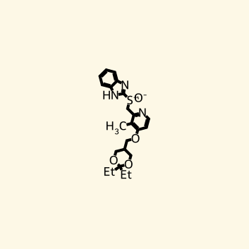 CCC1(CC)OCC(COc2ccnc(C[S+]([O-])c3nc4ccccc4[nH]3)c2C)CO1